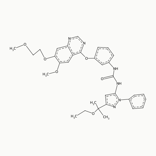 CCOC(C)(C)c1cc(NC(=O)Nc2cccc(Oc3ncnc4cc(OCCOC)c(OC)cc34)c2)n(-c2ccccc2)n1